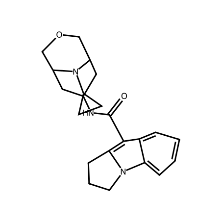 O=C(NC1CC2COCC(C1)N2C1CC1)c1c2n(c3ccccc13)CCC2